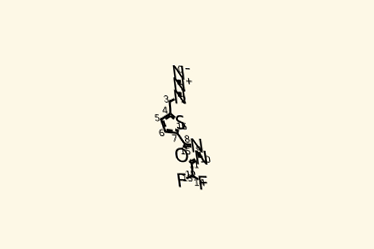 [N-]=[N+]=NCc1ccc(-c2nnc(C(F)F)o2)s1